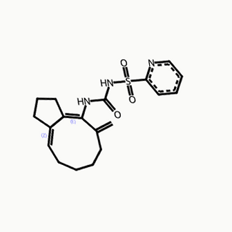 C=C1CCCC/C=C2/CCC/C2=C/1NC(=O)NS(=O)(=O)c1ccccn1